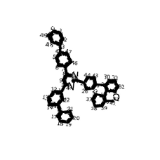 c1ccc(-c2ccc(-c3cc(-c4cccc(-c5ccccc5)c4)nc(-c4ccc(-c5cccc6c5-c5ccccc5CO6)cc4)n3)cc2)cc1